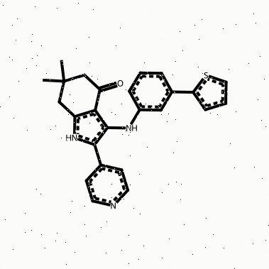 CC1(C)CC(=O)c2c([nH]c(-c3ccncc3)c2Nc2cccc(-c3cccs3)c2)C1